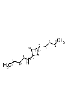 CCCCCN1CC(NCCCC)C1